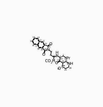 CC(C)C[C@H](N[C@H](CCN1C(=O)c2cc3ccccc3cc2C1=O)C(=O)O)C(=O)C1CNCC[S+]1[O-]